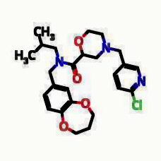 CC(C)CN(Cc1ccc2c(c1)OCCCO2)C(=O)C1CN(Cc2ccc(Cl)nc2)CCO1